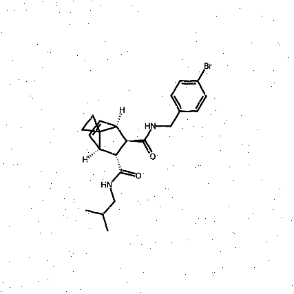 CC(C)CNC(=O)[C@H]1[C@H](C(=O)NCc2ccc(Br)cc2)[C@@H]2C=C[C@H]1C21CC1